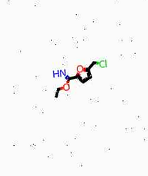 CCOC(=N)c1ccc(CCl)o1